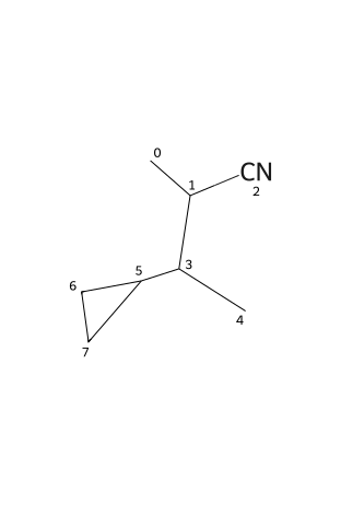 CC(C#N)C(C)C1CC1